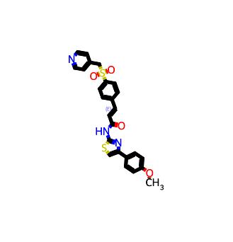 COc1ccc(-c2csc(NC(=O)/C=C/c3ccc(S(=O)(=O)Cc4ccncc4)cc3)n2)cc1